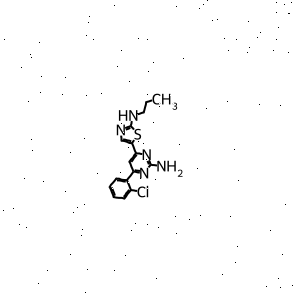 CCCNc1ncc(-c2cc(-c3ccccc3Cl)nc(N)n2)s1